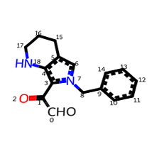 O=CC(=O)c1c2c(cn1Cc1ccccc1)CCCN2